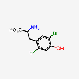 NC(Cc1cc(Br)c(O)cc1Br)C(=O)O